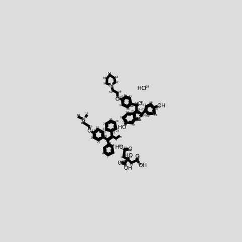 CC/C(=C(\c1ccccc1)c1ccc(OCCN(C)C)cc1)c1ccccc1.Cl.O=C(O)CC(O)(CC(=O)O)C(=O)O.O=C(c1ccc(OCCN2CCCCC2)cc1)c1c(-c2ccc(O)cc2)sc2cc(O)ccc12